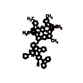 Cc1ccc2c(c1)c1cc(C)ccc1n2-c1nc(-n2c3ccc(C)cc3c3cc(C)ccc32)c(-n2c3ccc(C)cc3c3cc(Cc4cccc(-c5nc(-c6ccccc6)nc(-c6cc(C#N)c(-n7c8ccccc8c8ccccc87)cc6-n6c7ccccc7c7ccccc76)n5)c4)ccc32)c(-c2ccccc2)c1-n1c2ccc(C)cc2c2cc(C)ccc21